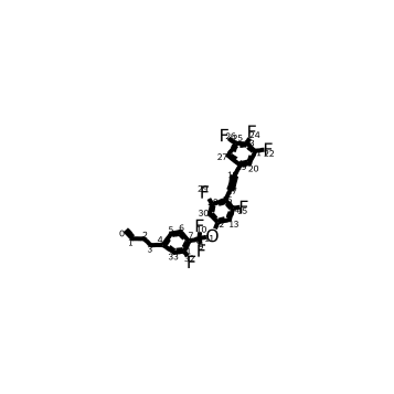 C=CCCc1ccc(C(F)(F)Oc2cc(F)c(C#Cc3cc(F)c(F)c(F)c3)c(F)c2)c(F)c1